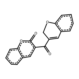 O=C(C1=Cc2ccccc2OC1)c1cc2ccccc2oc1=O